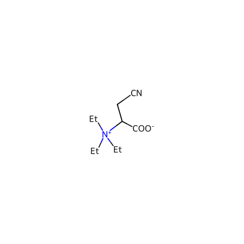 CC[N+](CC)(CC)C(CC#N)C(=O)[O-]